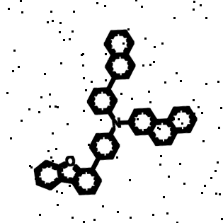 c1cc(-c2ccc3ccccc3c2)cc(N(c2ccc(-c3cccc4c3oc3ccccc34)cc2)c2ccc3c(ccc4ccccc43)c2)c1